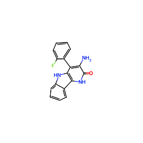 Nc1c(-c2ccccc2F)c2[nH]c3ccccc3c2[nH]c1=O